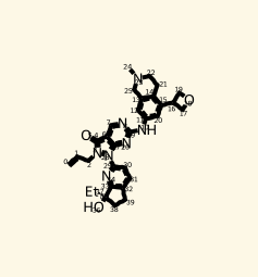 C=CCn1c(=O)c2cnc(Nc3cc4c(c(C5COC5)c3)CCN(C)C4)nc2n1-c1ccc2c(n1)[C@@](O)(CC)CC2